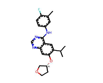 Cc1cc(Nc2ncnc3cc(O[C@@H]4CCOC4)c(C(C)C)cc23)ccc1F